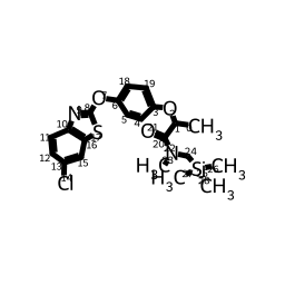 CC(Oc1ccc(Oc2nc3ccc(Cl)cc3s2)cc1)C(=O)N(C)C[Si](C)(C)C